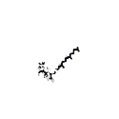 CC(C)=CCC/C(C)=C/CC/C(C)=C/CSC[C@H](NC(=O)[C@@H](NS(C)(=O)=O)[C@@H](C)I)C(=O)O